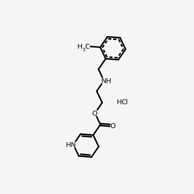 Cc1ccccc1CNCCOC(=O)C1=CNC=CC1.Cl